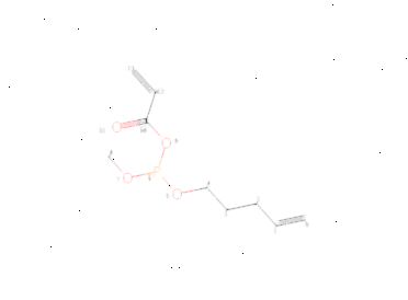 C=CCCCOP(OC)OC(=O)C=C